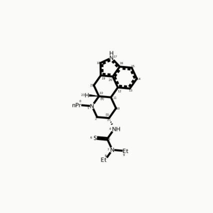 CCCN1C[C@@H](NC(=S)N(CC)CC)CC2c3cccc4[nH]cc(c34)C[C@H]21